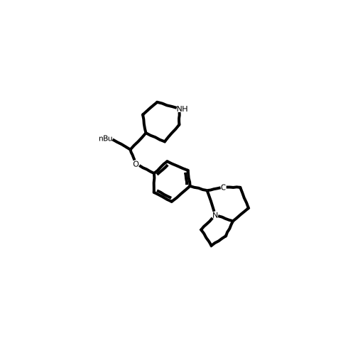 CCCCC(Oc1ccc(C2CCCC3CCCN32)cc1)C1CCNCC1